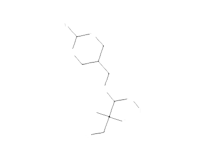 CCOC(OCC1COC(C(C)C)OC1)C(C)(CC)CO